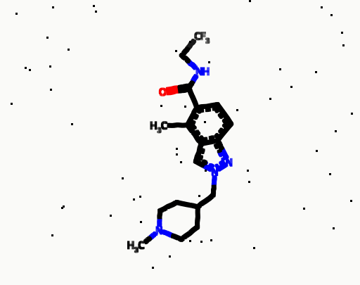 Cc1c(C(=O)NCC(F)(F)F)ccc2nn(CC3CCN(C)CC3)cc12